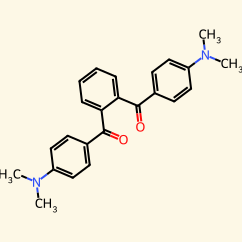 CN(C)c1ccc(C(=O)c2ccccc2C(=O)c2ccc(N(C)C)cc2)cc1